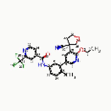 CCOc1ncc(-c2cc(NC(=O)c3ccnc(C(F)(F)F)c3)ccc2C)cc1C1(C#N)CCOC1